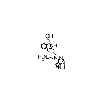 NCCCN(CCCC(=O)N[C@@H](CCO)c1ccccc1)c1ncnc2[nH]ccc12